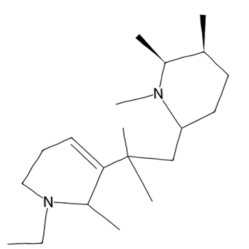 CCN1CCC=C(C(C)(C)CC2CC[C@H](C)[C@H](C)N2C)C1C